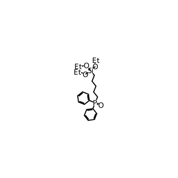 CCO[Si](CCCCCP(=O)(c1ccccc1)c1ccccc1)(OCC)OCC